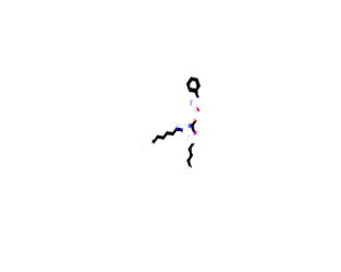 CCCCCCCCNC(COC(=O)NCc1ccccc1)C(=O)NCCCCCC